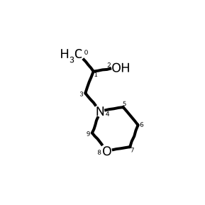 CC(O)CN1CCCOC1